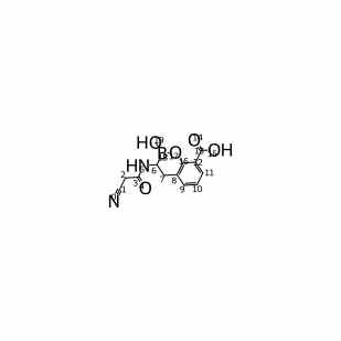 N#CCC(=O)NC1Cc2cccc(C(=O)O)c2OB1O